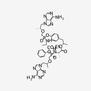 CCOC(=O)[C@H](C)N[P@@](=O)(CO[C@H](C)Cn1cnc2c(N)ncnc21)Oc1ccc(CC(C)OC(=O)[C@H](C)NP(=O)(COC(C)Cn2cnc3c(N)ncnc32)Oc2ccccc2)cc1